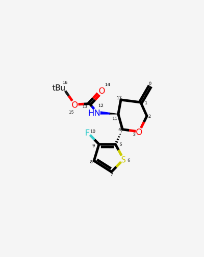 C=C1CO[C@H](c2sccc2F)[C@@H](NC(=O)OC(C)(C)C)C1